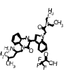 CCN(CC)C(=O)Cn1cc(-c2nc3ccccc3n(CC(N)CC(C)C)c2=O)c2ccccc21.O=C(O)C(F)(F)F